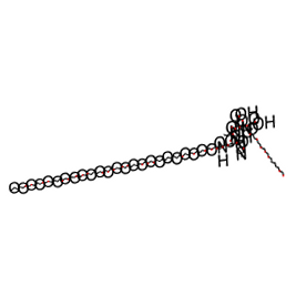 CCCCCCCCCCCCCCCCCCCC(=O)N[C@@H](CCC(=O)O)C(=O)N[C@@H](CCC(=O)O)C(=O)N[C@H](C(=O)N[C@@H](CCCCNC(=O)CCOCCOCCOCCOCCOCCOCCOCCOCCOCCOCCOCCOCCOCCOCCOCCOCCOCCOCCOCCOCCOCCOCCOCCOC)C(=O)N1CCN(C)CC1)[C@@H](C)CC